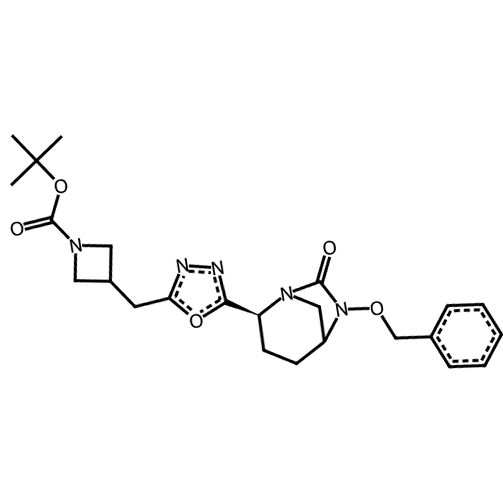 CC(C)(C)OC(=O)N1CC(Cc2nnc([C@@H]3CCC4CN3C(=O)N4OCc3ccccc3)o2)C1